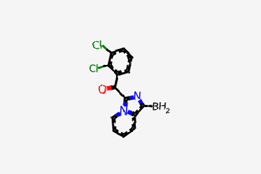 Bc1nc(C(=O)c2cccc(Cl)c2Cl)n2ccccc12